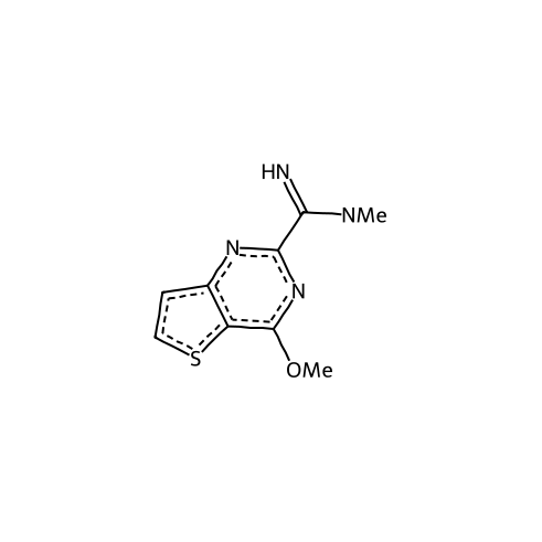 CNC(=N)c1nc(OC)c2sccc2n1